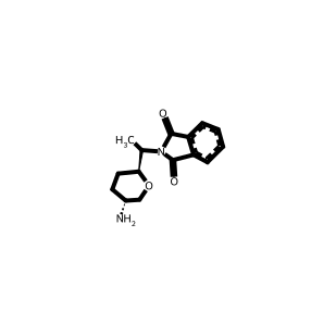 CC([C@@H]1CC[C@@H](N)CO1)N1C(=O)c2ccccc2C1=O